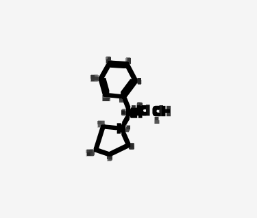 Cl.Cl.c1ccc(NN2CCCC2)cc1